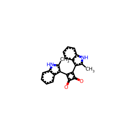 Cc1[nH]c2ccccc2c1-c1c(-c2c(C)[nH]c3ccccc23)c(=O)c1=O